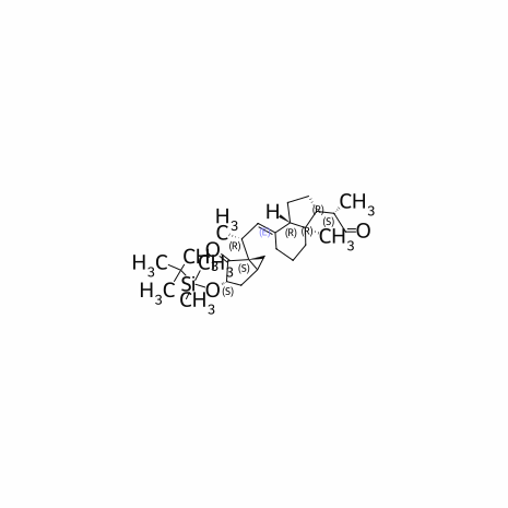 C[C@H](C=O)[C@H]1CC[C@H]2/C(=C/[C@@H](C)[C@]34CC3C[C@H](O[Si](C)(C)C(C)(C)C)C4=O)CCC[C@]12C